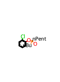 CCCCCP(=O)(CCCC)Oc1ccccc1Cl